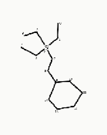 CC[Si](CC)(CC)CC[C]1CCCCC1